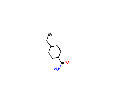 C[C](C)CC1CCC(C(N)=O)CC1